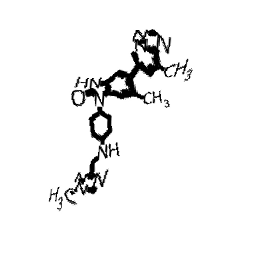 Cc1cc2c(cc1-c1cc(C)c3ncnn3c1)[nH]c(=O)n2C1CCC(NCc2ncn(C)n2)CC1